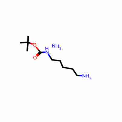 CC(C)(C)OC(=O)NCCCCCN.N